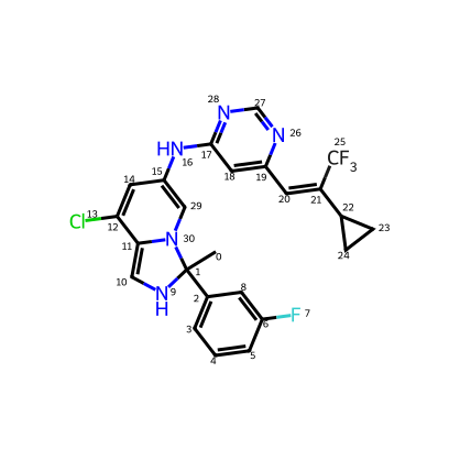 CC1(c2cccc(F)c2)NC=C2C(Cl)=CC(Nc3cc(/C=C(/C4CC4)C(F)(F)F)ncn3)=CN21